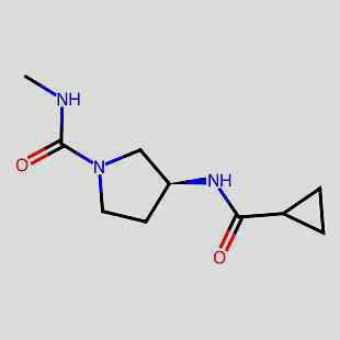 CNC(=O)N1CC[C@H](NC(=O)C2CC2)C1